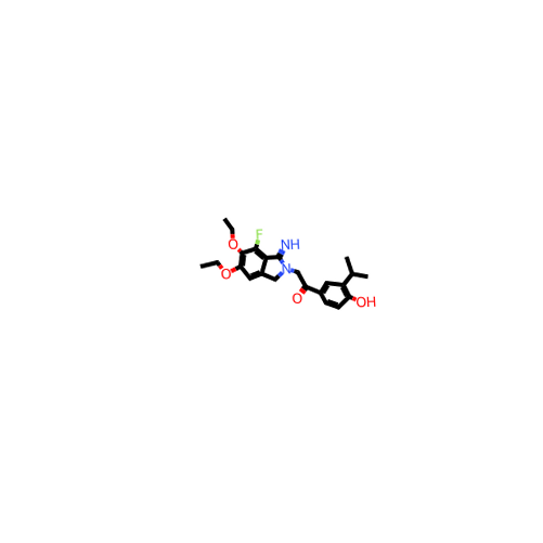 CCOc1cc2c(c(F)c1OCC)C(=N)N(CC(=O)c1ccc(O)c(C(C)C)c1)C2